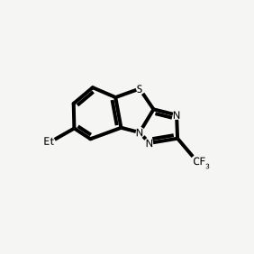 CCc1ccc2sc3nc(C(F)(F)F)nn3c2c1